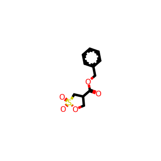 O=C(OCc1ccccc1)C1COS(=O)(=O)C1